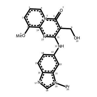 COc1cccn2c(=O)c(CO)c(Nc3ccc4ncn(C(C)C)c4c3)nc12